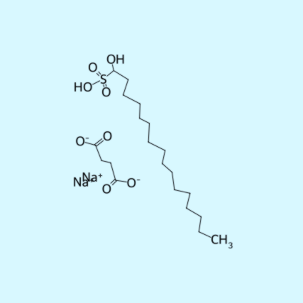 CCCCCCCCCCCCCCCC(O)S(=O)(=O)O.O=C([O-])CCC(=O)[O-].[Na+].[Na+]